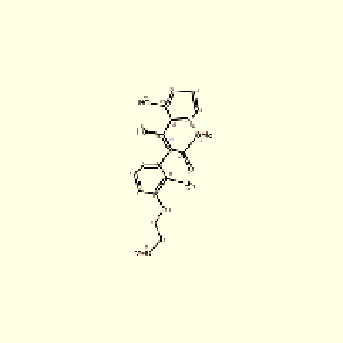 COCCOc1cccc(/C(C(=O)OC)=C(\O)c2ncccc2O)c1C(F)(F)F